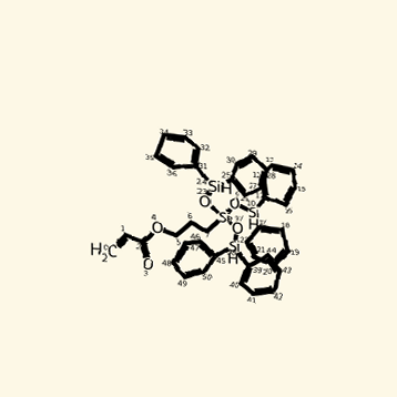 C=CC(=O)OCCC[Si](O[SiH](c1ccccc1)c1ccccc1)(O[SiH](c1ccccc1)c1ccccc1)O[SiH](c1ccccc1)c1ccccc1